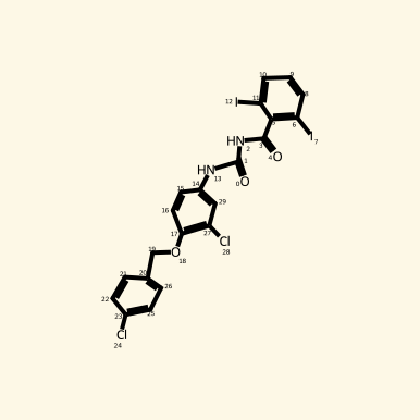 O=C(NC(=O)c1c(I)cccc1I)Nc1ccc(OCc2ccc(Cl)cc2)c(Cl)c1